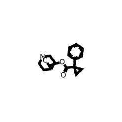 O=C(OC1CN2CCC1CC2)C1(c2ccccc2)CC1